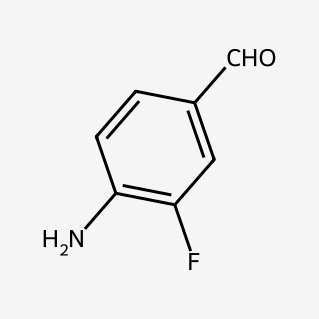 Nc1ccc(C=O)cc1F